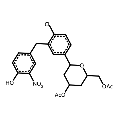 CC(=O)OCC1CC(OC(C)=O)CC(c2ccc(Cl)c(Cc3ccc(O)c([N+](=O)[O-])c3)c2)O1